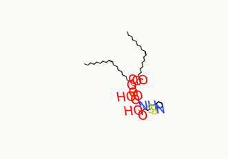 CCCCCCCC/C=C\CCCCCCCC(=O)OC[C@H](COP(=O)(O)OCCNC(CSSc1ccccn1)C(=O)O)OC(=O)CCCCCCC/C=C\CCCCCCCC